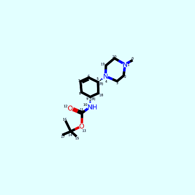 CN1CCN([C@H]2C=CC[C@@H](NC(=O)OC(C)(C)C)C2)CC1